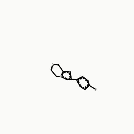 Fc1ccc(-c2cn3c(n2)COCC3)cc1